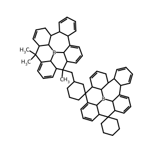 CC1(C)C2=CC=CC3C2B2C4C(=CC=CC4C3(C)CC3CCCC4(C3)C3=CC=CC5C3B3C6C(=CC=CC6C56CCCCC6)C5C=CC=CC5C5CC=CC4C35)C3C=CC=CC3C3CC=CC1C23